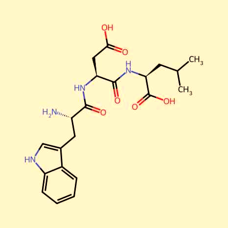 CC(C)C[C@H](NC(=O)[C@H](CC(=O)O)NC(=O)[C@@H](N)Cc1c[nH]c2ccccc12)C(=O)O